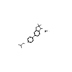 CC(C)COc1ccc(-c2ccc3c(c2)CC(C)(C)C3OC(N)=O)cc1